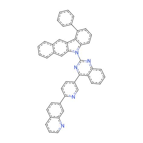 c1ccc(-c2cccc3c2c2cc4ccccc4cc2n3-c2nc(-c3ccc(-c4ccc5cccnc5c4)nc3)c3ccccc3n2)cc1